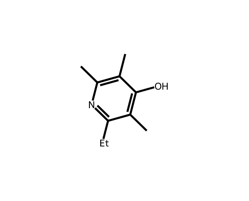 CCc1nc(C)c(C)c(O)c1C